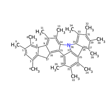 Cc1cc(C)c2c(c1C)-c1c(C)c(C)c3c(c1C2)c1c(C)c(C)c(C)c2c4c(C)c(C)c(C)c(C)c4n3c21